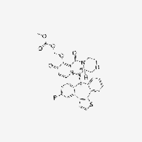 COC(=O)OCOc1c2n(ccc1=O)N([C@@H]1c3ccc(F)cc3-c3ccsc3-c3ccccc31)[C@@H]1COCCN1C2=O